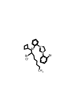 Brc1ccccc1N1C=[N+](c2ccccc2Br)CC1.CCCCCCC(Br)CC1CCC1.[Cl-]